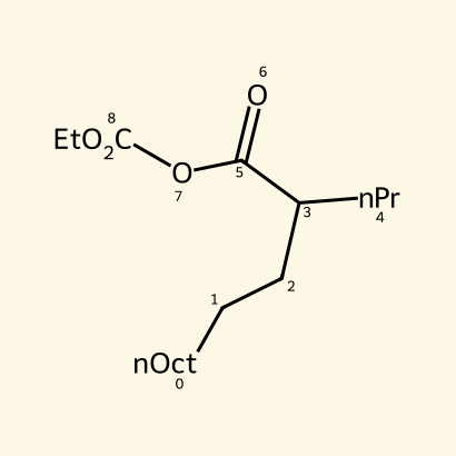 CCCCCCCCCCC(CCC)C(=O)OC(=O)OCC